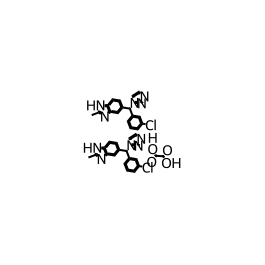 Cc1nc2cc(C(c3cccc(Cl)c3)n3ccnn3)ccc2[nH]1.Cc1nc2cc(C(c3cccc(Cl)c3)n3ccnn3)ccc2[nH]1.O=C(O)C(=O)O